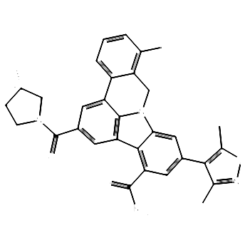 Cc1noc(C)c1-c1cc(C(N)=O)c2c3cc(C(=O)N4CC[C@H](F)C4)cc4c3n(c2c1)Cc1c(F)cccc1-4